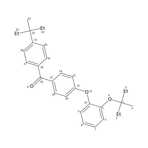 CCC(C)(CC)Oc1ccccc1Oc1ccc(C(=O)c2ccc(C(C)(CC)CC)cc2)cc1